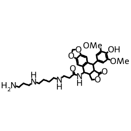 COc1cc(C2c3cc4c(cc3C(NC(=O)CCNCCCCNCCCN)C3COC(=O)C23)OCO4)cc(OC)c1O